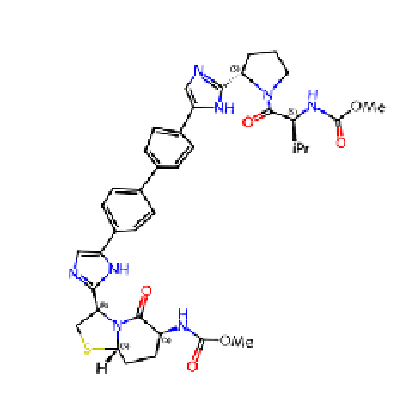 COC(=O)N[C@H]1CC[C@@H]2SC[C@@H](c3ncc(-c4ccc(-c5ccc(-c6cnc([C@@H]7CCCN7C(=O)[C@@H](NC(=O)OC)C(C)C)[nH]6)cc5)cc4)[nH]3)N2C1=O